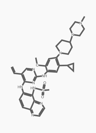 C=Cc1cnc(Nc2cc(C3CC3)c(N3CCC(N4CCN(C)CC4)CC3)cc2OC)nc1Nc1ccc2nccnc2c1NS(C)(=O)=O